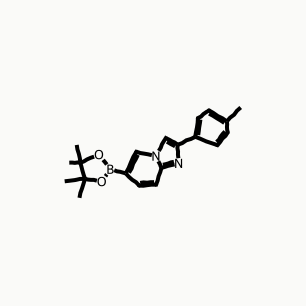 Cc1ccc(-c2cn3cc(B4OC(C)(C)C(C)(C)O4)ccc3n2)cc1